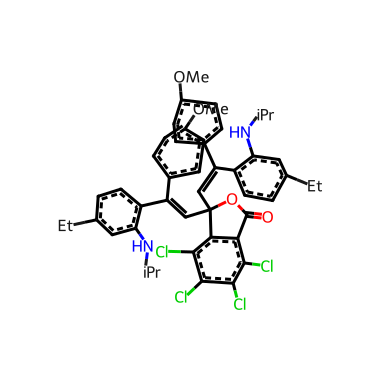 CCc1ccc(C(=CC2(C=C(c3ccc(OC)cc3)c3ccc(CC)cc3NC(C)C)OC(=O)c3c(Cl)c(Cl)c(Cl)c(Cl)c32)c2ccc(OC)cc2)c(NC(C)C)c1